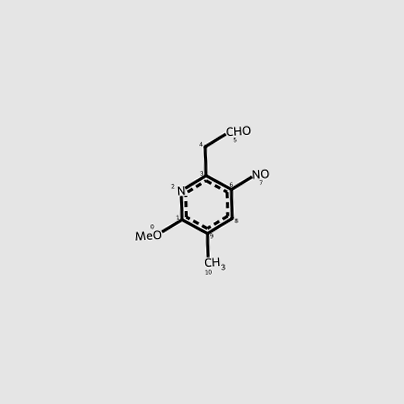 COc1nc(CC=O)c(N=O)cc1C